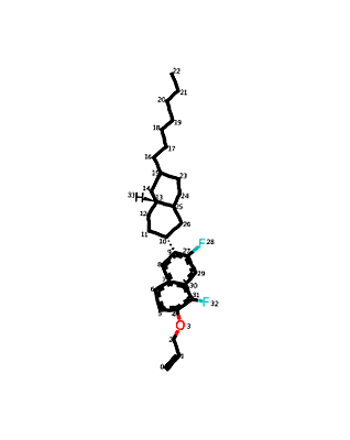 C=CCOc1ccc2cc([C@@H]3CC[C@@H]4CC(CCCCCCC)CCC4C3)c(F)cc2c1F